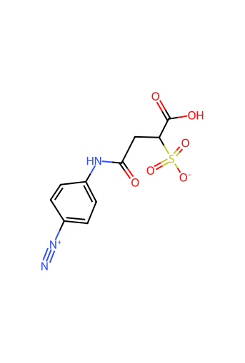 N#[N+]c1ccc(NC(=O)CC(C(=O)O)S(=O)(=O)[O-])cc1